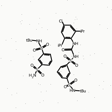 CC(C)(C)NS(=O)(=O)c1cccc(S(N)(=O)=O)c1.CC(C)c1cc(Cl)cc(C(C)C)c1NC(=O)NS(=O)(=O)c1cccc(S(=O)(=O)NC(C)(C)C)c1